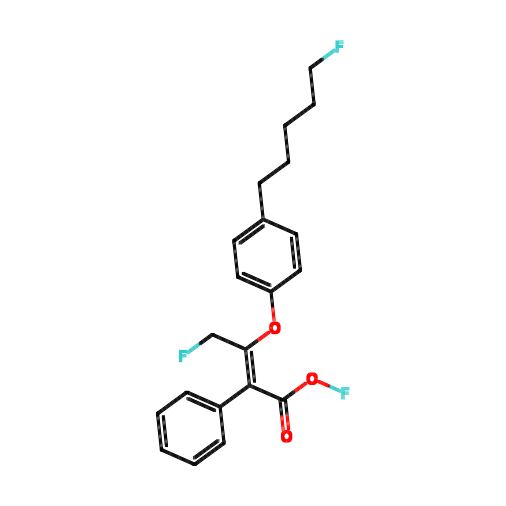 O=C(OF)C(=C(CF)Oc1ccc(CCCCCF)cc1)c1ccccc1